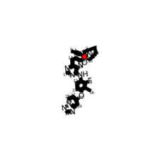 CC#CC(=O)N1C2CCC1CN(c1ccc3ncnc(Nc4ccc(Oc5ccn6ncnc6c5)c(C)c4F)c3n1)C2